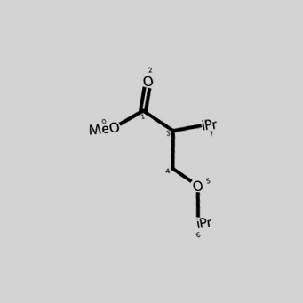 COC(=O)C(COC(C)C)C(C)C